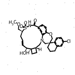 COC[C@@H]1C/C=C/[C@H](O)[C@@H]2CC[C@H]2CN2C[C@@]3(CCCc4cc(Cl)ccc43)COc3ccc(cc32)C(=O)NS1(=O)=O